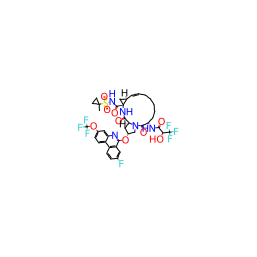 CC1(S(=O)(=O)NC(=O)[C@@]23C[C@H]2/C=C\CCCCC[C@H](NC(=O)[C@H](O)C(F)(F)F)C(=O)N2C[C@H](Oc4nc5cc(OC(F)(F)F)ccc5c5ccc(F)cc45)C[C@H]2C(=O)N3)CC1